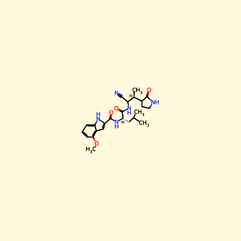 COc1cccc2[nH]c(C(=O)N[C@@H](CC(C)C)C(=O)NC(C#N)[C@@H](C)C3CCNC3=O)cc12